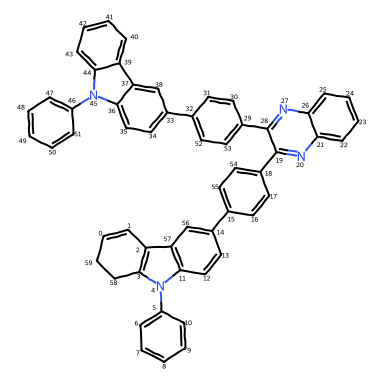 C1=Cc2c(n(-c3ccccc3)c3ccc(-c4ccc(-c5nc6ccccc6nc5-c5ccc(-c6ccc7c(c6)c6ccccc6n7-c6ccccc6)cc5)cc4)cc23)CC1